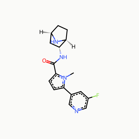 Cn1c(C(=O)N[C@@H]2C[C@H]3CC[C@@H]2N3)ccc1-c1cncc(F)c1